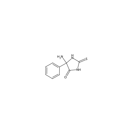 NC1(c2ccccc2)NC(=S)NC1=O